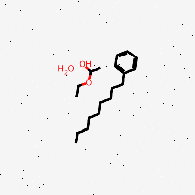 CCCCCCCCCc1ccccc1.CCOC(C)O.O